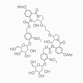 COc1ccc2c(c1)C(=O)N1CCC(OCCCOC3CCN4C(=O)c5cc(OC)ccc5N(C(=O)OCc5ccc(O[C@@H]6O[C@H](CO)[C@H](O)[C@H](O)[C@H]6O)c([N+](=O)[O-])c5)[C@@H](O)C34)C1[C@H](O)N2C(=O)OCc1ccc(O[C@@H]2O[C@H](CO)[C@H](O)[C@H](O)[C@H]2O)c([N+](=O)[O-])c1